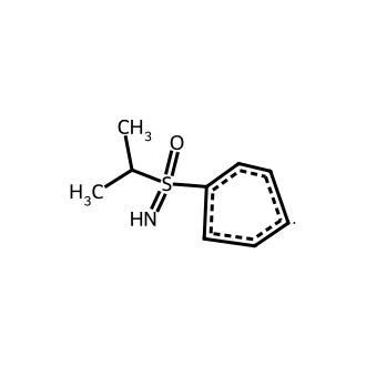 CC(C)S(=N)(=O)c1cc[c]cc1